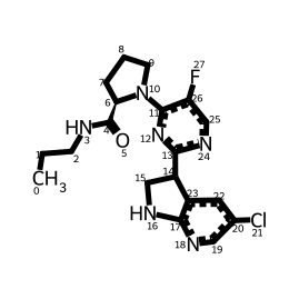 CCCNC(=O)[C@H]1CCCN1c1nc(C2CNc3ncc(Cl)cc32)ncc1F